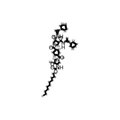 CCCCCCCCCCCOC(=O)N[C@H]1CN(C(=O)c2ccc(C(=O)N3C[C@@H](C(=O)N[C@H]4C[C@@H]4c4ccccc4)[C@H](C(=O)N[C@H]4C[C@@H]4c4ccccc4)C3)cc2)C[C@@H]1OC